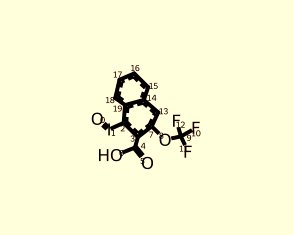 O=Ic1c(C(=O)O)c(OC(F)(F)F)cc2ccccc12